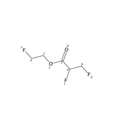 O=C(OCCF)C(F)CF